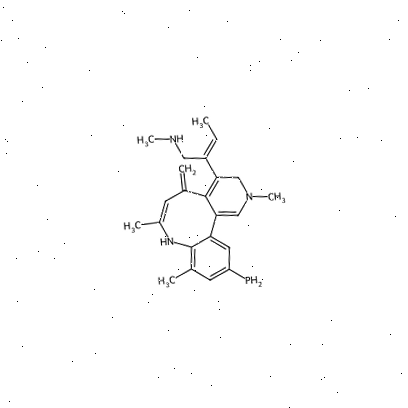 C=C1/C=C(/C)Nc2c(C)cc(P)cc2C2=CN(C)CC(/C(=C/C)CNC)=C12